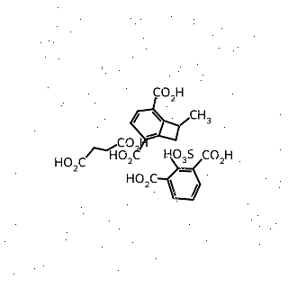 CC1Cc2c(C(=O)O)ccc(C(=O)O)c21.O=C(O)CCC(=O)O.O=C(O)c1cccc(C(=O)O)c1S(=O)(=O)O